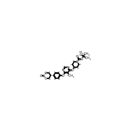 Cc1c(Oc2ccc([C@H]3CO[S@@](=O)OC3)cc2)ncnc1OC1CCN(C(=O)OC(C)(C)C)CC1